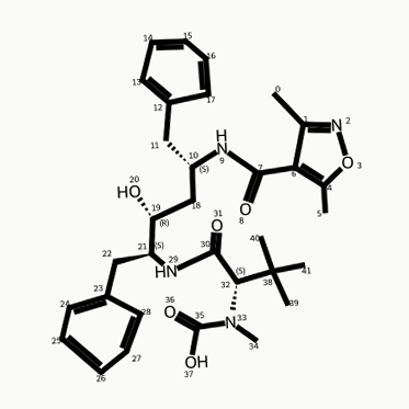 Cc1noc(C)c1C(=O)N[C@@H](Cc1ccccc1)C[C@@H](O)[C@H](Cc1ccccc1)NC(=O)[C@@H](N(C)C(=O)O)C(C)(C)C